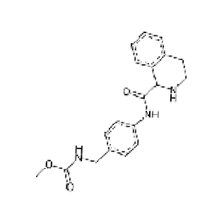 COC(=O)NCc1ccc(NC(=O)C2NCCc3ccccc32)cc1